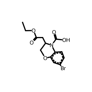 CCOC(=O)CC1COc2cc(Br)ccc2N1C(=O)O